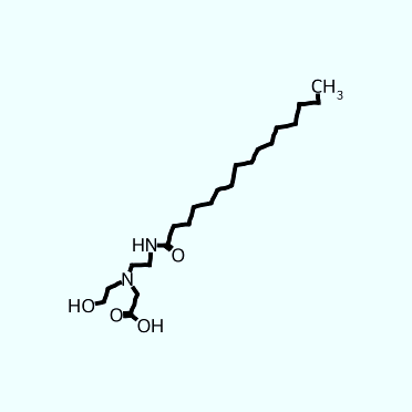 CCCCCCCCCCCCCCCC(=O)NCCN(CCO)CC(=O)O